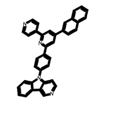 c1ccc2cc(-c3cc(-c4ccncc4)nc(-c4ccc(-n5c6ccccc6c6cnccc65)cc4)c3)ccc2c1